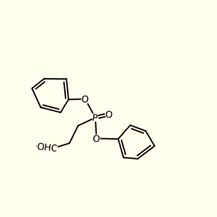 O=[C]CCP(=O)(Oc1ccccc1)Oc1ccccc1